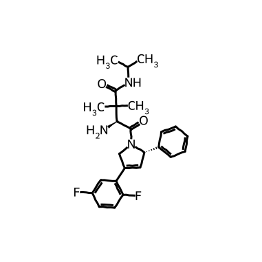 CC(C)NC(=O)C(C)(C)[C@H](N)C(=O)N1CC(c2cc(F)ccc2F)=C[C@H]1c1ccccc1